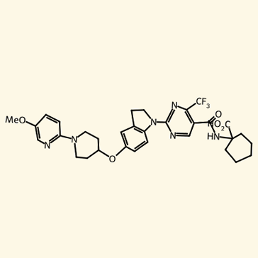 COc1ccc(N2CCC(Oc3ccc4c(c3)CCN4c3ncc(C(=O)NC4(C(=O)O)CCCCC4)c(C(F)(F)F)n3)CC2)nc1